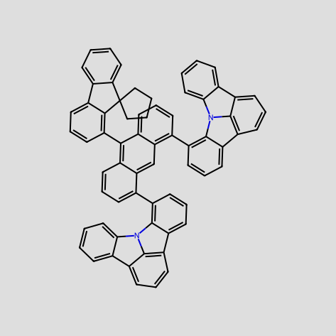 c1ccc2c(c1)-c1cccc(-c3c4cccc(-c5cccc6c7cccc8c9ccccc9n(c56)c87)c4cc4c(-c5cccc6c7cccc8c9ccccc9n(c56)c87)cccc34)c1C21CCCC1